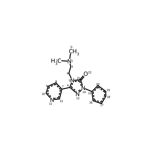 CN(C)CCn1c(-c2cccnc2)nn(-c2ccccc2)c1=O